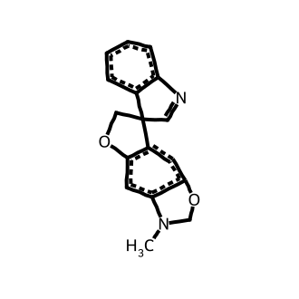 CN1COc2cc3c(cc21)OCC31C=Nc2ccccc21